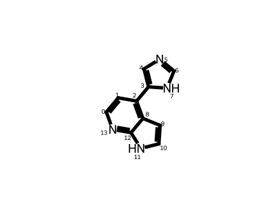 c1cc(-c2cnc[nH]2)c2cc[nH]c2n1